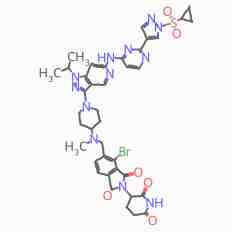 CC(C)n1nc(N2CCC(N(C)Cc3ccc4c(c3Br)C(=O)N(C3CCC(=O)NC3=O)C4=O)CC2)c2cnc(Nc3ccnc(-c4cnn(S(=O)(=O)C5CC5)c4)n3)cc21